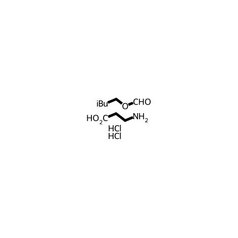 CCC(C)COC=O.Cl.Cl.NCCC(=O)O